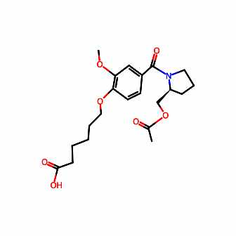 COc1cc(C(=O)N2CCC[C@H]2COC(C)=O)ccc1OCCCCCC(=O)O